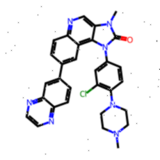 CN1CCN(c2ccc(-n3c(=O)n(C)c4cnc5ccc(-c6ccc7nccnc7c6)cc5c43)cc2Cl)CC1